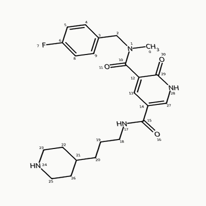 CN(Cc1ccc(F)cc1)C(=O)c1cc(C(=O)NCCCC2CCNCC2)c[nH]c1=O